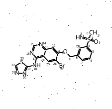 CS(=N)(=O)c1cccc(COc2cc3ncnc(Nc4nncs4)c3cc2Br)c1